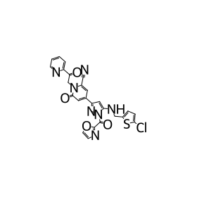 N#Cc1cc(-c2cc(NCc3ccc(Cl)s3)n(C(=O)c3ncco3)n2)cc(=O)n1CC(=O)c1ccccn1